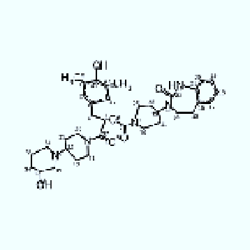 Cc1cc(C[C@@H](OC(=O)N2CCC(N3CCc4ccccc4NC3=O)CC2)C(=O)N2CCC(N3CCCC(O)C3)CC2)cc(C)c1O